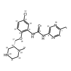 Cc1cnc(NC(=O)Nc2cc(Cl)ccc2OC[C@H]2CNCCN2C)cn1